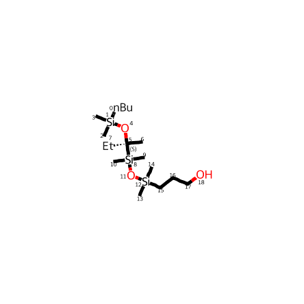 CCCC[Si](C)(C)O[C@](C)(CC)[Si](C)(C)O[Si](C)(C)CCCO